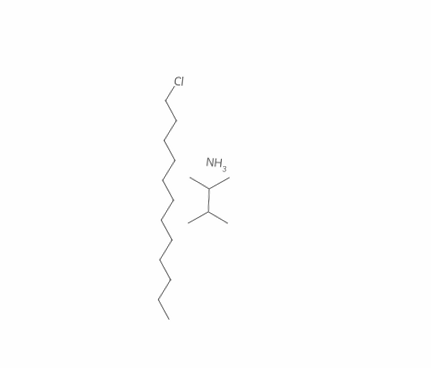 CC(C)C(C)C.CCCCCCCCCCCCCl.N